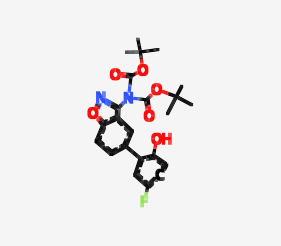 CC(C)(C)OC(=O)N(C(=O)OC(C)(C)C)c1noc2ccc(-c3cc(F)ccc3O)cc12